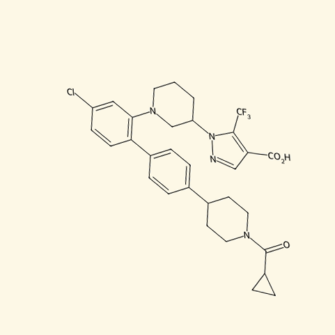 O=C(O)c1cnn(C2CCCN(c3cc(Cl)ccc3-c3ccc(C4CCN(C(=O)C5CC5)CC4)cc3)C2)c1C(F)(F)F